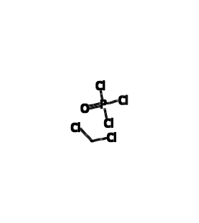 ClCCl.O=P(Cl)(Cl)Cl